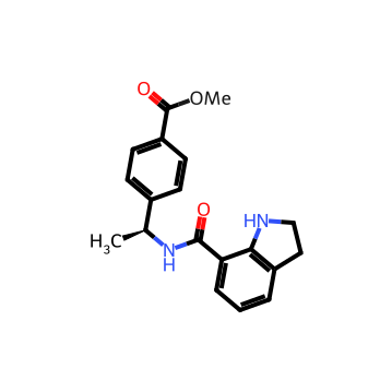 COC(=O)c1ccc([C@H](C)NC(=O)c2cccc3c2NCC3)cc1